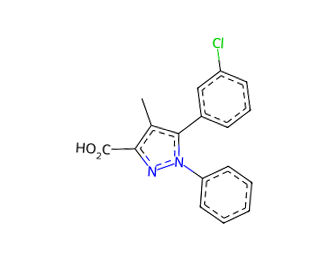 Cc1c(C(=O)O)nn(-c2ccccc2)c1-c1cccc(Cl)c1